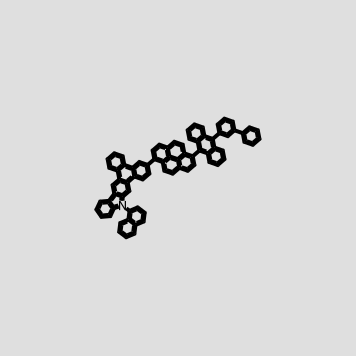 c1ccc(-c2cccc(-c3c4ccccc4c(-c4ccc5ccc6c(-c7ccc8c(c7)c7ccccc7c7cc9c%10ccccc%10n(-c%10cccc%11ccccc%10%11)c9cc87)ccc7ccc4c5c76)c4ccccc34)c2)cc1